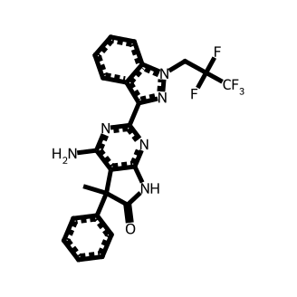 CC1(c2ccccc2)C(=O)Nc2nc(-c3nn(CC(F)(F)C(F)(F)F)c4ccccc34)nc(N)c21